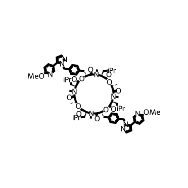 COc1ccc(-c2ccnn2Cc2ccc(C[C@H]3OC(=O)[C@H](CC(C)C)N(C)C(=O)[C@@H](C)OC(=O)[C@H](CC(C)C)N(C)C(=O)[C@@H](Cc4ccc(Cn5nccc5-c5ccc(OC)nc5)cc4)OC(=O)[C@H](CC(C)C)N(C)C(=O)[C@@H](C)OC(=O)[C@H](CC(C)C)N(C)C3=O)cc2)cn1